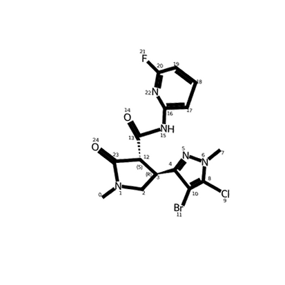 CN1C[C@H](c2nn(C)c(Cl)c2Br)[C@@H](C(=O)Nc2cccc(F)n2)C1=O